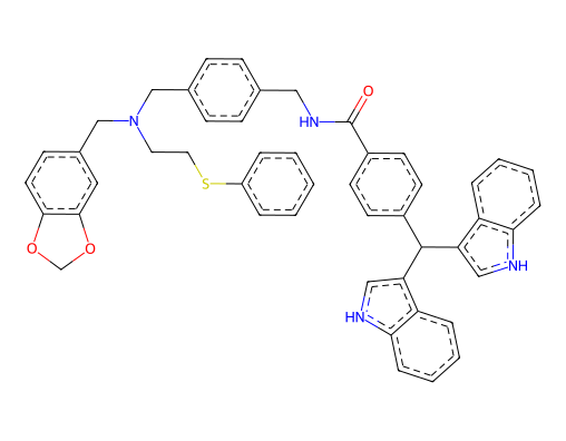 O=C(NCc1ccc(CN(CCSc2ccccc2)Cc2ccc3c(c2)OCO3)cc1)c1ccc(C(c2c[nH]c3ccccc23)c2c[nH]c3ccccc23)cc1